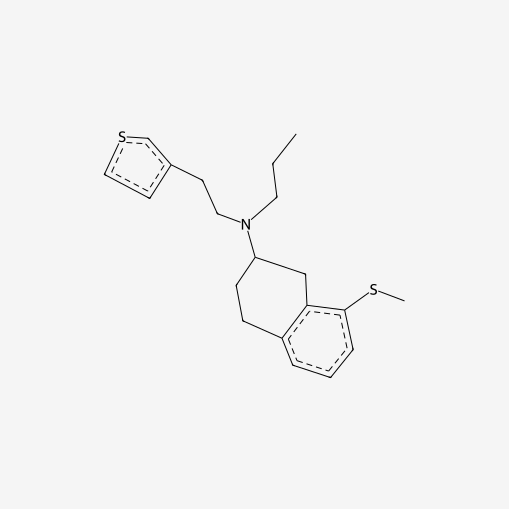 CCCN(CCc1ccsc1)C1CCc2cccc(SC)c2C1